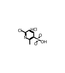 Cc1nc(Cl)ccc1S(=O)(=O)O.Cl